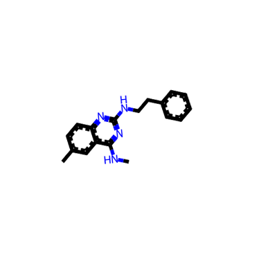 CNc1nc(NCCc2ccccc2)nc2ccc(C)cc12